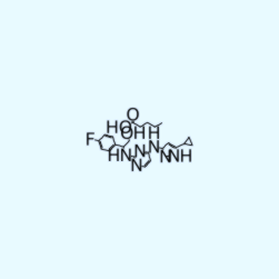 CCCCC(=O)O.OCC(Nc1nccc(Nc2cc(C3CC3)[nH]n2)n1)c1ccc(F)cc1